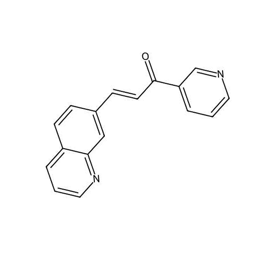 O=C(C=Cc1ccc2cccnc2c1)c1cccnc1